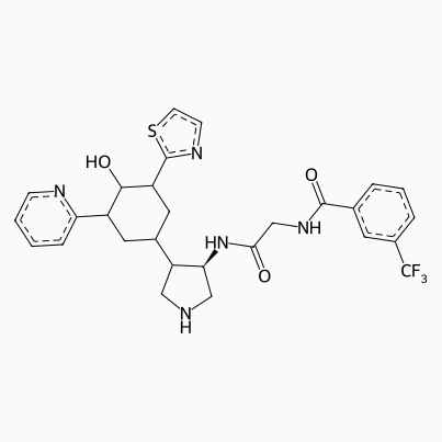 O=C(CNC(=O)c1cccc(C(F)(F)F)c1)N[C@H]1CNCC1C1CC(c2ccccn2)C(O)C(c2nccs2)C1